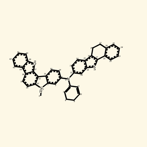 C[SiH]1c2cc(N(C3=CCCC=C3)c3ccc4c5c(sc4c3)-c3ccccc3CC5)ccc2-c2c1ccc1c2oc2ccccc21